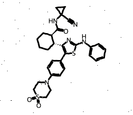 N#CC1(NC(=O)[C@@H]2CCCC[C@H]2c2nc(Nc3ccccc3)sc2-c2ccc(N3CCS(=O)(=O)CC3)cc2)CC1